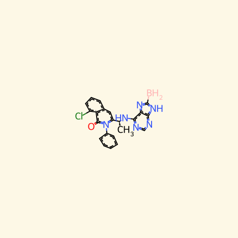 Bc1nc2c(N[C@@H](C)c3cc4cccc(Cl)c4c(=O)n3-c3ccccc3)ncnc2[nH]1